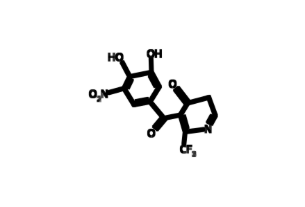 O=C1CC=NC(C(F)(F)F)=C1C(=O)c1cc(O)c(O)c([N+](=O)[O-])c1